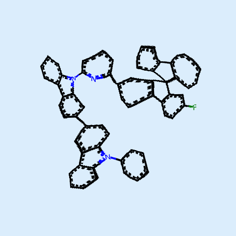 Fc1ccc2c(c1)C1(c3ccccc3-c3ccccc31)c1cc(-c3cccc(-n4c5ccccc5c5ccc(-c6ccc7c(c6)c6ccccc6n7-c6ccccc6)cc54)n3)ccc1-2